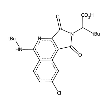 CCC(C)C(C(=O)O)N1C(=O)c2nc(NC(C)(C)C)c3ccc(Cl)cc3c2C1=O